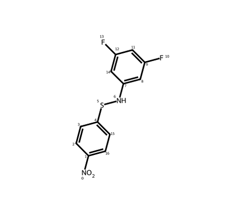 O=[N+]([O-])c1ccc(SNc2cc(F)cc(F)c2)cc1